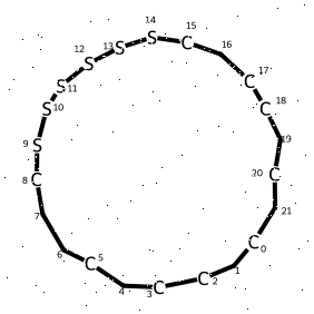 C1CCCCCCCCSSSSSSCCCCCCC1